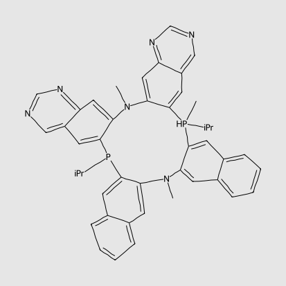 CC(C)P1c2cc3ccccc3cc2N(C)c2cc3ccccc3cc2[PH](C)(C(C)C)c2cc3cncnc3cc2N(C)c2cc3ncncc3cc21